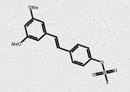 COc1cc(C=Cc2ccc(OS(=O)(=O)F)cc2)cc(OC)c1